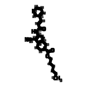 CCCCCCOC(=O)N1CCc2c(sc(NC(=O)/C=C/c3cccnc3)c2C#N)C1